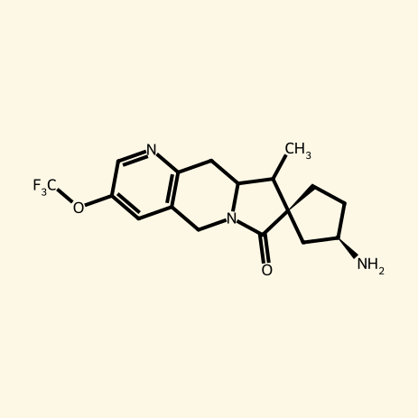 CC1C2Cc3ncc(OC(F)(F)F)cc3CN2C(=O)[C@]12CC[C@@H](N)C2